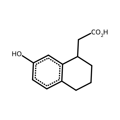 O=C(O)CC1CCCc2ccc(O)cc21